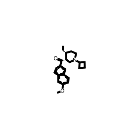 CC[C@@H]1CCN(C2CCC2)C[C@@H]1C(=O)c1ccc2cc(OC)ccc2c1